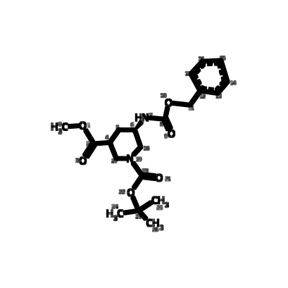 COC(=O)C1C[C@@H](NC(=O)OCc2ccccc2)CN(C(=O)OC(C)(C)C)C1